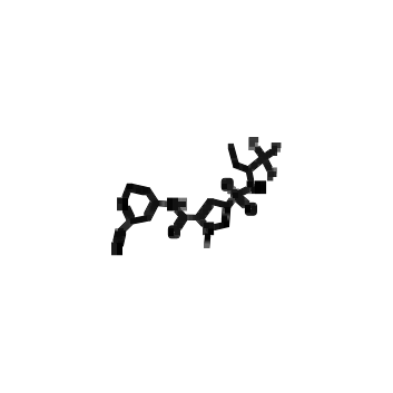 CCC(NS(=O)(=O)c1cc(C(=O)Nc2ccnc(C#N)c2)n(C)c1)C(F)(F)F